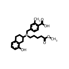 COC(=O)CCCCN(Cc1ccc(C(=O)O)c(C)c1)C1CCc2cccc(O)c2C1